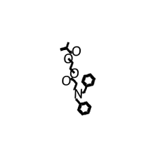 C=C(C)C(=O)OCCOC(=O)CCN(Cc1ccccc1)Cc1ccccc1